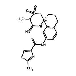 Cc1nc(C(=O)Nc2ccc3c(c2)[C@]2(CCC3)CS(=O)(=O)N(C)C(=N)N2)co1